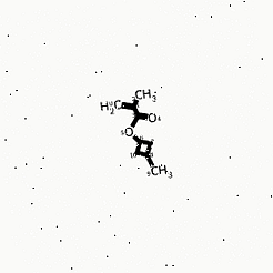 C=C(C)C(=O)OC1CC(C)C1